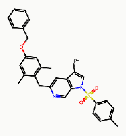 Cc1ccc(S(=O)(=O)n2cc(C(C)C)c3cc(Cc4c(C)cc(OCc5ccccc5)cc4C)ncc32)cc1